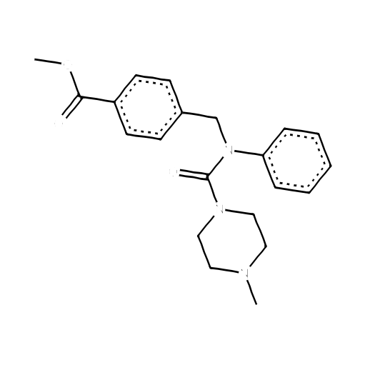 COC(=O)c1ccc(CN(C(=O)N2CCN(C)CC2)c2ccccc2)cc1